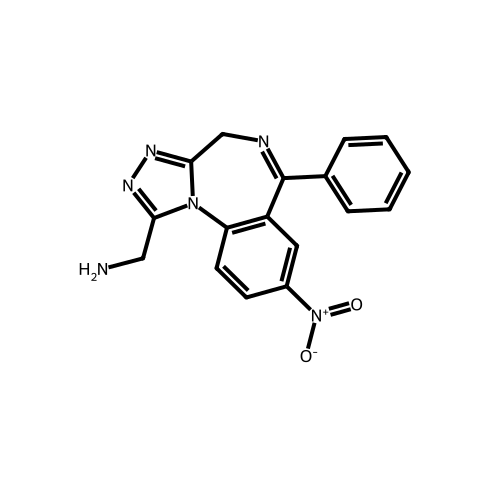 NCc1nnc2n1-c1ccc([N+](=O)[O-])cc1C(c1ccccc1)=NC2